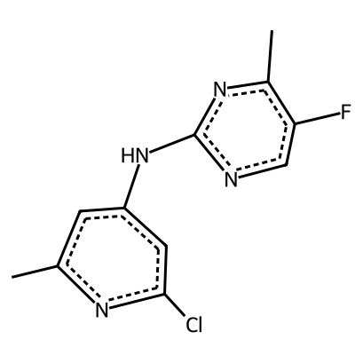 Cc1cc(Nc2ncc(F)c(C)n2)cc(Cl)n1